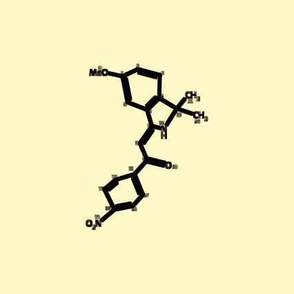 COc1ccc2c(c1)/C(=C/C(=O)c1ccc([N+](=O)[O-])cc1)NC2(C)C